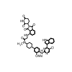 COc1cc(N2CCC(N(C)C(=O)CNc3cccc4c3C(=O)N(C3CCC(=O)NC3=O)C4=O)CC2)ccc1Nc1ncc(Cl)c(-c2c[nH]c3ccccc23)n1